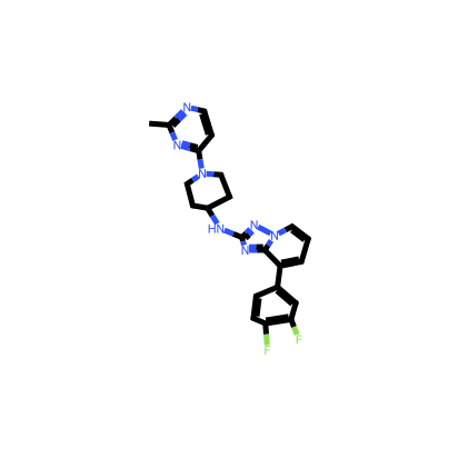 Cc1nccc(N2CCC(Nc3nc4c(-c5ccc(F)c(F)c5)cccn4n3)CC2)n1